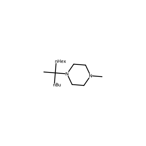 CCCCCCC(C)(CCCC)N1CCN(C)CC1